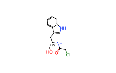 O=C(CCl)N[C@H](CO)Cc1c[nH]c2ccccc12